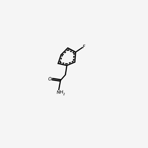 NC(=O)Cc1cccc(F)c1